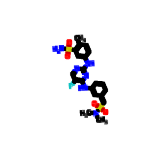 Cc1ccc(Nc2ncc(F)c(NC3=CC(=CS(=O)(=O)N(C)C)CC=C3)n2)cc1S(N)(=O)=O